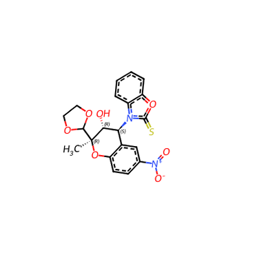 C[C@@]1(C2OCCO2)Oc2ccc([N+](=O)[O-])cc2[C@H](n2c(=S)oc3ccccc32)[C@H]1O